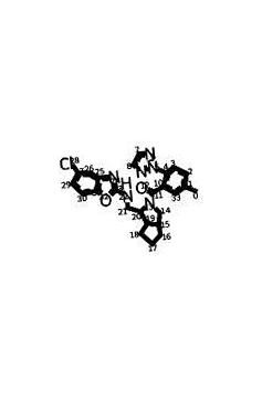 Cc1ccc(-n2nccn2)c(C(=O)N2CC3CCCC3C2CNc2nc3cc(Cl)ccc3o2)c1